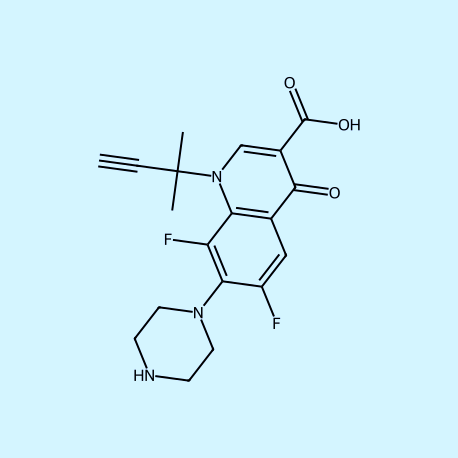 C#CC(C)(C)n1cc(C(=O)O)c(=O)c2cc(F)c(N3CCNCC3)c(F)c21